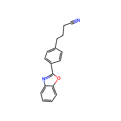 N#CCCCc1ccc(-c2nc3ccccc3o2)cc1